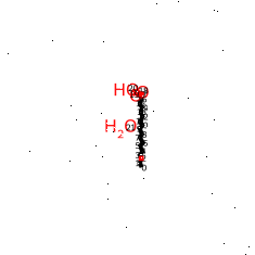 CCCCCCCCCCCCCCCCCC(=O)OO.O